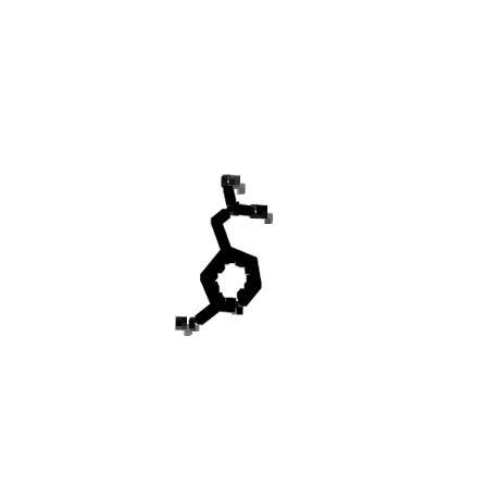 Cc1cc([CH2][Al]([CH3])[CH3])ccn1